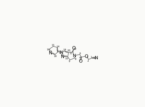 N#CCOC(=O)CN1CCc2nn(C3=CCCN=C3)cc2C1=O